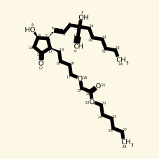 C#CC(O)(CC=C[C@H]1[C@H](O)CC(=O)[C@@H]1CCCCOCC(=O)OCCCCCC)CCCCCC